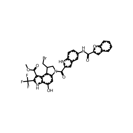 COC(=O)c1c(C(F)(F)F)[nH]c2c(O)cc3c(c12)C(CBr)CN3C(=O)c1cc2cc(NC(=O)c3cc4ccccc4o3)ccc2[nH]1